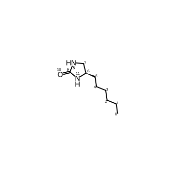 CCCCCC[C@@H]1CNC(=O)N1